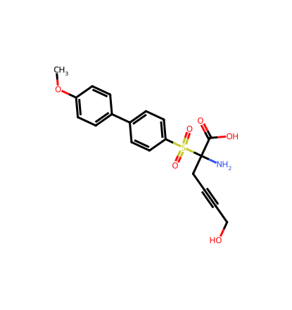 COc1ccc(-c2ccc(S(=O)(=O)C(N)(CC#CCO)C(=O)O)cc2)cc1